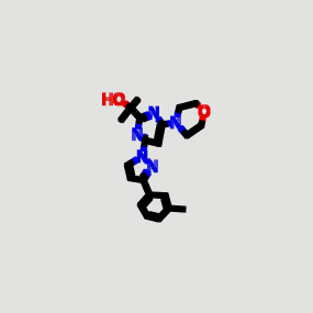 Cc1cccc(-c2ccn(-c3cc(N4CCOCC4)nc(C(C)(C)O)n3)n2)c1